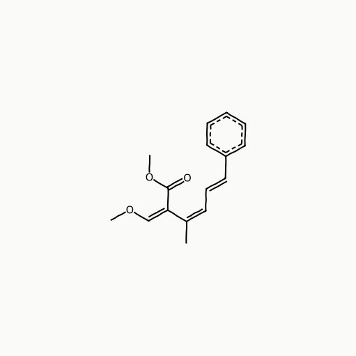 COC=C(C(=O)OC)C(C)=CC=Cc1ccccc1